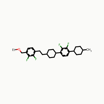 CCOCc1ccc(CCC2CCC(c3ccc(C4CCC(C)CC4)c(F)c3F)CC2)c(F)c1F